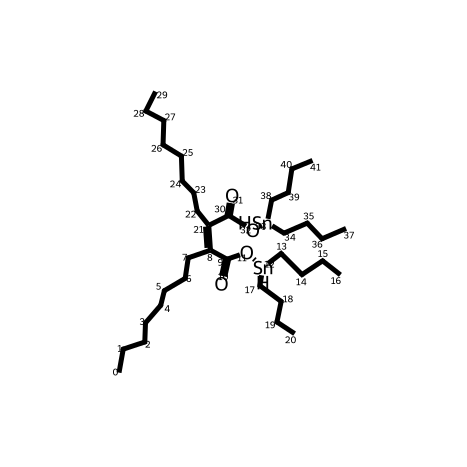 CCCCCCCC/C(C(=O)[O][SnH]([CH2]CCC)[CH2]CCC)=C(\CCCCCCCC)C(=O)[O][SnH]([CH2]CCC)[CH2]CCC